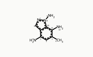 Cc1cc(N)c2cnn(N)c2c1N